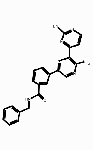 Nc1nccc(-c2nc(-c3cccc(C(=O)NCc4ccccc4)c3)cnc2N)n1